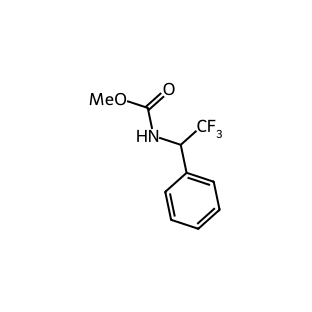 COC(=O)NC(c1ccccc1)C(F)(F)F